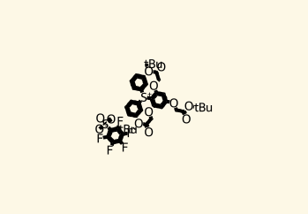 CC(C)(C)OC(=O)COc1cc(OCC(=O)OC(C)(C)C)c([S+](c2ccccc2)c2ccccc2)c(OCC(=O)OC(C)(C)C)c1.O=S(=O)([O-])c1c(F)c(F)c(F)c(F)c1F